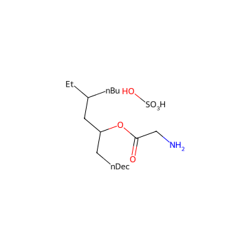 CCCCCCCCCCCC(CC(CC)CCCC)OC(=O)CN.O=S(=O)(O)O